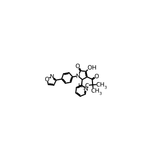 CC(C)(C)C(=O)C1=C(O)C(=O)N(c2ccc(-c3ccon3)cc2)C1c1ccccn1